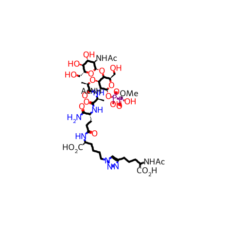 COP(=O)(O)P(=O)(O)O[C@H]1O[C@H](CO)C(O[C@@H]2O[C@H](CO)[C@@H](O)[C@H](O)[C@H]2NC(C)=O)[C@H](O[C@H](C)C(=O)N[C@@H](C)C(=O)N[C@H](CCC(=O)N[C@@H](CCCCn2cc(CCCC(NC(C)=O)C(=O)O)nn2)C(=O)O)C(N)=O)[C@H]1NC(C)=O